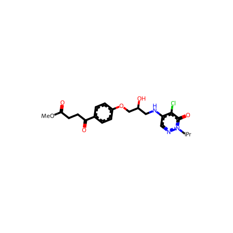 COC(=O)CCC(=O)c1ccc(OCC(O)CNc2cnn(C(C)C)c(=O)c2Cl)cc1